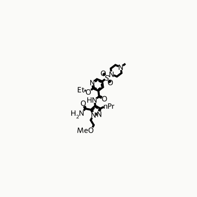 CCCc1nn(CCOC)c(C(N)=O)c1NC(=O)c1cc(S(=O)(=O)N2CCN(C)CC2)cnc1OCC